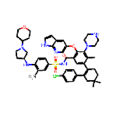 Cc1c(C2=C(c3ccc(Cl)cc3)CC(C)(C)CC2)cc(C(=O)NS(=O)(=O)c2ccc(N[C@H]3CCN(C4CCOCC4)C3)c([N+](=O)[O-])c2)c(Oc2cnc3[nH]ccc3c2)c1N1CCNCC1